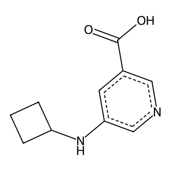 O=C(O)c1cncc(NC2CCC2)c1